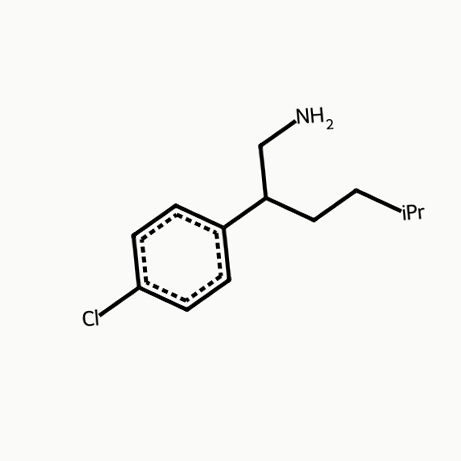 CC(C)CCC(CN)c1ccc(Cl)cc1